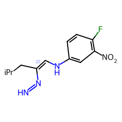 CC(C)C/C(=C/Nc1ccc(F)c([N+](=O)[O-])c1)N=N